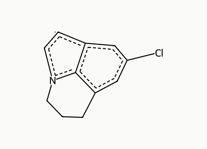 Clc1cc2c3c([c]cn3CCC2)c1